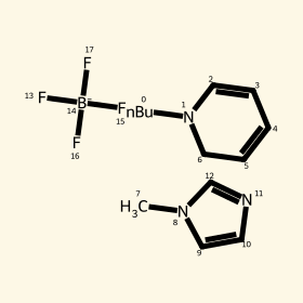 CCCCN1C=CC=CC1.Cn1ccnc1.F[B-](F)(F)F